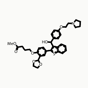 COC(=O)CCCOc1ccc(-c2sc3ccccc3c2C(O)c2ccc(OCCN3CCCC3)cc2)cc1C1OCCO1